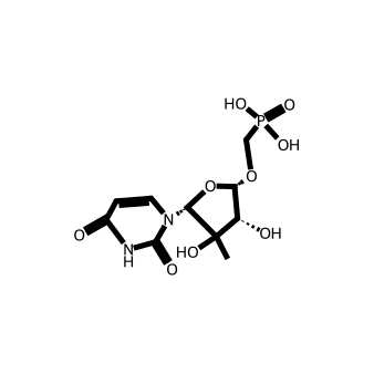 CC1(O)[C@@H](O)[C@@H](OCP(=O)(O)O)O[C@H]1n1ccc(=O)[nH]c1=O